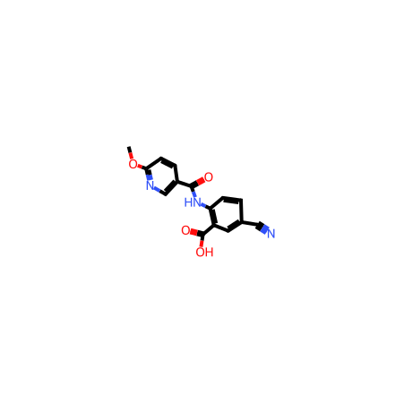 COc1ccc(C(=O)Nc2ccc(C#N)cc2C(=O)O)cn1